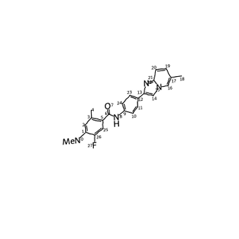 CNc1cc(C)c(C(=O)Nc2ccc(-c3cn4cc(C)ccc4n3)cc2)cc1F